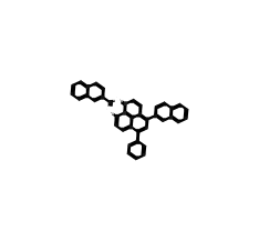 c1ccc(-c2cc(-c3ccc4ccccc4c3)c3ccc4nc(-c5ccc6ccccc6c5)nc5ccc2c3c54)cc1